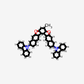 Cc1cc2oc3cc4cc(-n5c6ccccc6c6ccccc65)ccc4cc3c2c2c1oc1cc3cc(-n4c5ccccc5c5ccccc54)ccc3cc12